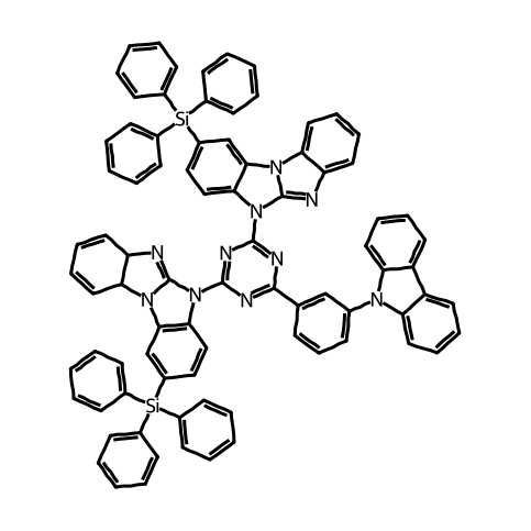 C1=CC2N=C3N(c4nc(-c5cccc(-n6c7ccccc7c7ccccc76)c5)nc(-n5c6ccc([Si](c7ccccc7)(c7ccccc7)c7ccccc7)cc6n6c7ccccc7nc56)n4)c4ccc([Si](c5ccccc5)(c5ccccc5)c5ccccc5)cc4N3C2C=C1